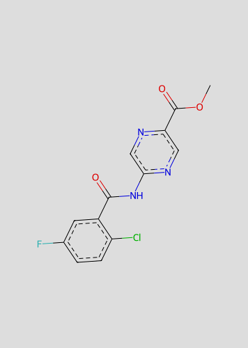 COC(=O)c1cnc(NC(=O)c2cc(F)ccc2Cl)cn1